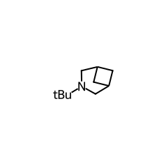 CC(C)(C)N1CC2CC(C2)C1